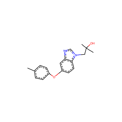 Cc1ccc(Oc2ccc3c(c2)ncn3CC(C)(C)O)cc1